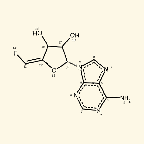 Nc1ncnc2c1ncn2[C@@H]1OC(=CF)C(O)C1O